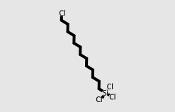 ClCCCCCCCCCCCCC[Si](Cl)(Cl)Cl